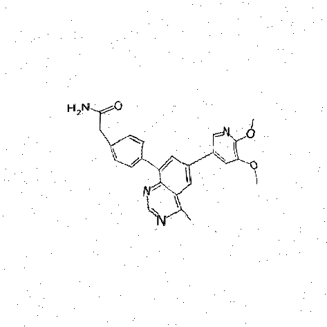 COc1cc(-c2cc(-c3ccc(CC(N)=O)cc3)c3ncnc(C)c3c2)cnc1OC